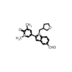 Cc1cc(-c2cc3cc(C=O)ccc3n2CC2CCOC2)cn(C)c1=O